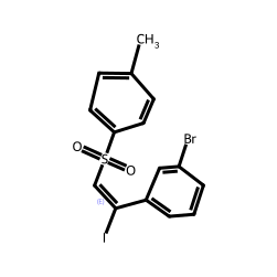 Cc1ccc(S(=O)(=O)/C=C(/I)c2cccc(Br)c2)cc1